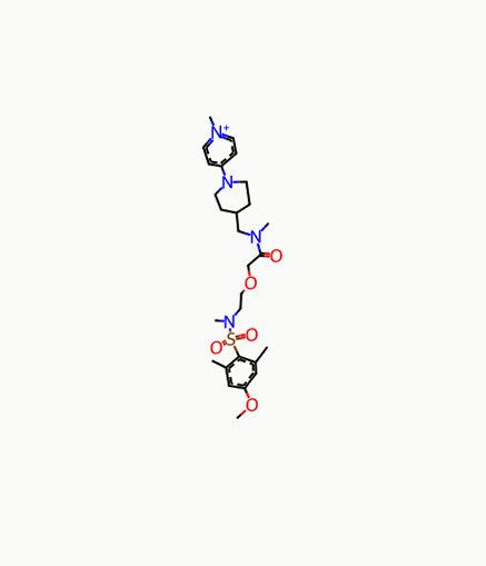 COc1cc(C)c(S(=O)(=O)N(C)CCOCC(=O)N(C)CC2CCN(c3cc[n+](C)cc3)CC2)c(C)c1